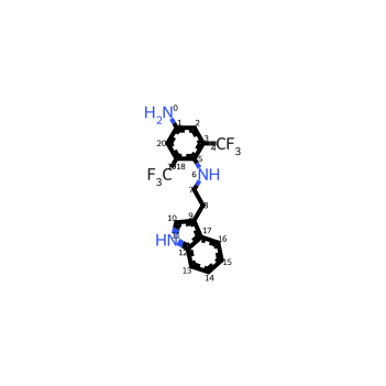 Nc1cc(C(F)(F)F)c(NCCc2c[nH]c3ccccc23)c(C(F)(F)F)c1